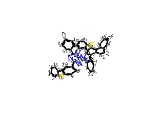 c1ccc(-c2nc(-c3ccc4sc5ccccc5c4c3)nc(-n3c4ccccc4c4c5ccc6ccccc6c5c5sc6ccccc6c5c43)n2)cc1